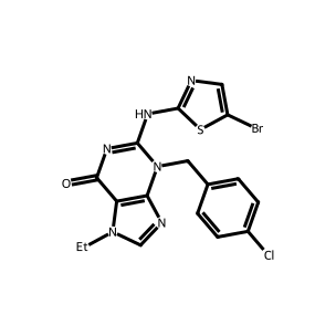 CCn1cnc2c1c(=O)nc(Nc1ncc(Br)s1)n2Cc1ccc(Cl)cc1